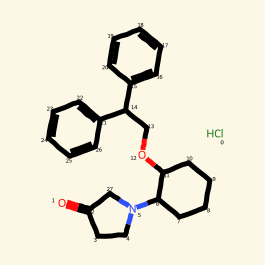 Cl.O=C1CCN(C2CCCCC2OCC(c2ccccc2)c2ccccc2)C1